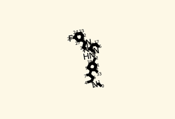 CC/N=C(C)\C=C(/C)c1ccc(CNc2nccc3nc(-c4cccc(F)c4)cnc23)cc1C